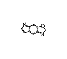 C1=Cc2cc3c(cc2=N1)OCN=3